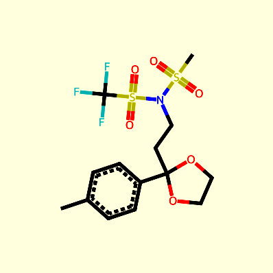 Cc1ccc(C2(CCN(S(C)(=O)=O)S(=O)(=O)C(F)(F)F)OCCO2)cc1